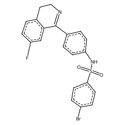 O=S(=O)(Nc1ccc(C2=NCCc3ccc(F)cc32)cc1)c1ccc(Br)cc1